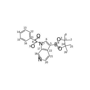 CC1(C)OB(c2cn(S(=O)(=O)c3ccccc3)c3cnccc23)OC1(C)C